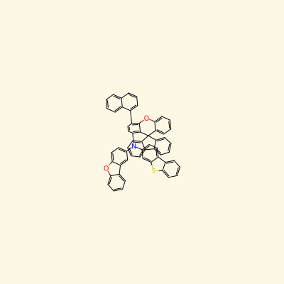 c1ccc2c(c1)Oc1c(-c3cccc4ccccc34)ccc(N(c3ccc4c(c3)sc3ccccc34)c3ccc4oc5ccccc5c4c3)c1C21c2ccccc2-c2ccccc21